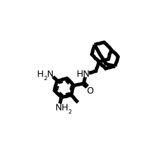 Cc1c(N)cc(N)cc1C(=O)NCC12CC3CC(CC(C3)C1)C2